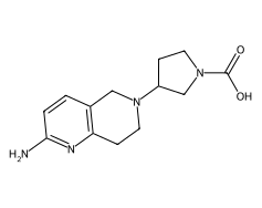 Nc1ccc2c(n1)CCN(C1CCN(C(=O)O)C1)C2